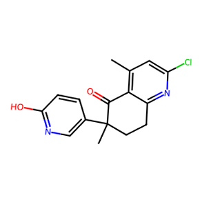 Cc1cc(Cl)nc2c1C(=O)C(C)(c1ccc(O)nc1)CC2